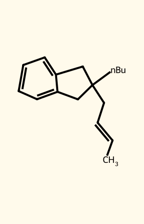 C/C=C/CC1(CCCC)Cc2ccccc2C1